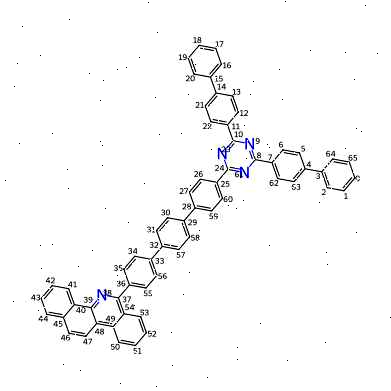 c1ccc(-c2ccc(-c3nc(-c4ccc(-c5ccccc5)cc4)nc(-c4ccc(-c5ccc(-c6ccc(-c7nc8c9ccccc9ccc8c8ccccc78)cc6)cc5)cc4)n3)cc2)cc1